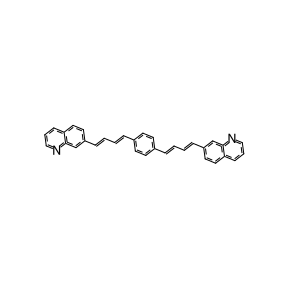 C(/C=C/c1ccc2cccnc2c1)=C\c1ccc(/C=C/C=C/c2ccc3cccnc3c2)cc1